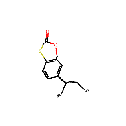 CC(C)CC(c1ccc2sc(=O)oc2c1)C(C)C